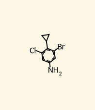 Nc1cc(Cl)c(C2CC2)c(Br)c1